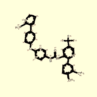 Cc1ccc(-c2ncc(C(F)(F)F)cc2NC(=O)Nc2cnc(Oc3ccc(-c4cccnc4N)cc3)nc2)cc1C